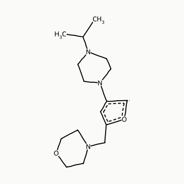 CC(C)N1CCN(c2[c]oc(CN3CCOCC3)c2)CC1